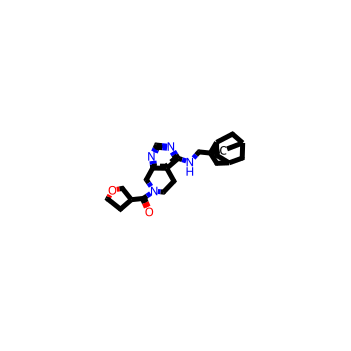 O=C(C1CCOC1)N1CCc2c(ncnc2NCC23CC4CC(CC2C4)C3)C1